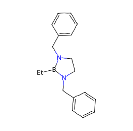 CCB1N(Cc2ccccc2)CCN1Cc1ccccc1